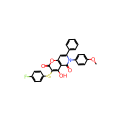 COc1ccc(-n2c(-c3ccccc3)cc3oc(=O)c(Sc4ccc(F)cc4)c(O)c3c2=O)cc1